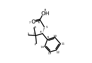 CC(C)(C)[C@H](CC(=O)O)c1ccccc1